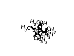 CCC[CH2][Sn](/[CH]=C/[C@](C)(O)C[C@H]1O[C@@H]1[C@H](C)[C@@H](O)CC)([CH2]CCC)[CH2]CCC